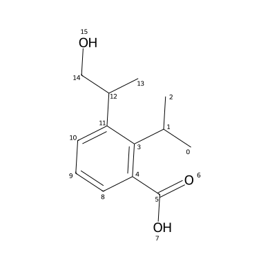 CC(C)c1c(C(=O)O)cccc1C(C)CO